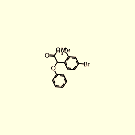 COC(=O)C(Oc1ccccc1)c1ccc(Br)cc1C